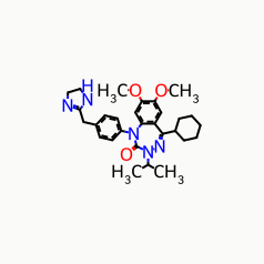 COc1cc2c(cc1OC)N(c1ccc(CC3=NCCN3)cc1)C(=O)N(C(C)C)N=C2C1CCCCC1